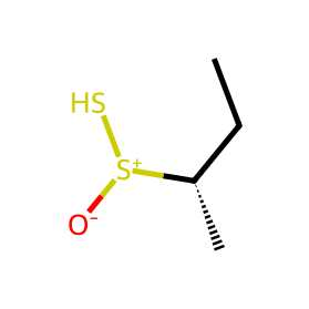 CC[C@H](C)[S+]([O-])S